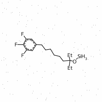 CCC(CC)(CCCCCCc1cc(F)c(F)c(F)c1)O[SiH3]